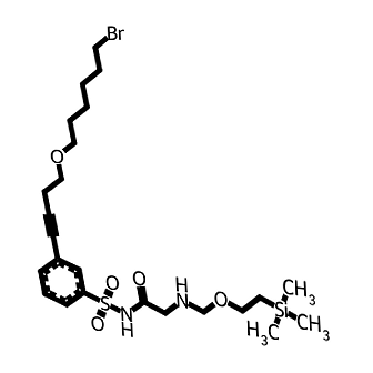 C[Si](C)(C)CCOCNCC(=O)NS(=O)(=O)c1cccc(C#CCCOCCCCCCBr)c1